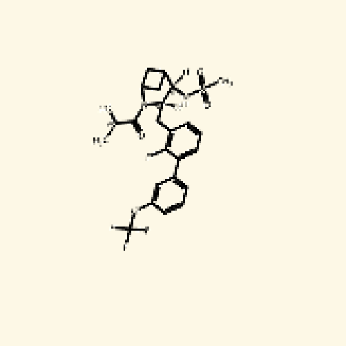 C[C@@H](O)C(=O)N1C2CC(C2)[C@H](NS(C)(=O)=O)[C@@H]1Cc1cccc(-c2cccc(OC(F)(F)F)c2)c1F